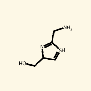 NCC1=NC(CO)C=[SH]1